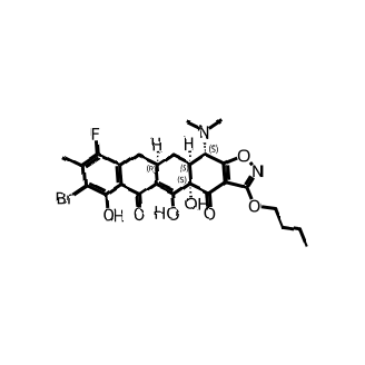 CCCCOc1noc2c1C(=O)[C@@]1(O)C(O)=C3C(=O)c4c(O)c(Br)c(C)c(F)c4C[C@H]3C[C@H]1[C@@H]2N(C)C